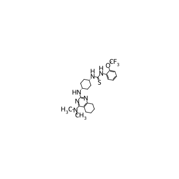 CN(C)c1nc(N[C@H]2CC[C@@H](NC(=S)Nc3ccccc3OC(F)(F)F)CC2)nc2c1CCCC2